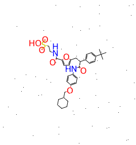 CC(C)(C)c1ccc(C(Cc2ccc(C(=O)NCCS(=O)(=O)O)o2)C(=O)Nc2ccc(OCC3CCCCC3)cc2)cc1